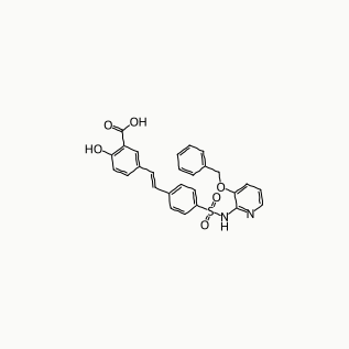 O=C(O)c1cc(C=Cc2ccc(S(=O)(=O)Nc3ncccc3OCc3ccccc3)cc2)ccc1O